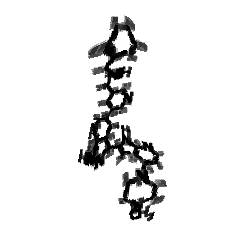 CN1CCN(c2ccnc3[nH]c(-c4n[nH]c5ncc(-c6cncc(CNCc7ccccc7)c6)cc45)cc23)CC1